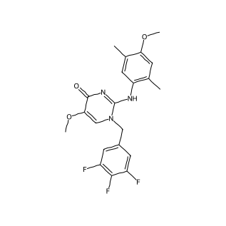 COc1cc(C)c(Nc2nc(=O)c(OC)cn2Cc2cc(F)c(F)c(F)c2)cc1C